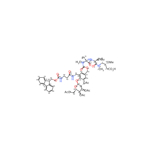 CC[C@H](C)[C@@H]([C@@H](CC(=O)O)OC)N(C)C(=O)[C@@H](NC(=O)[C@H](C(C)C)N(C)C(=O)OCc1ccc(O[C@@H]2O[C@H](COC(C)=O)[C@H](OC(C)=O)[C@H](OC(C)=O)[C@H]2OC(C)=O)c(CNC(=O)CCNC(=O)OCC2c3ccccc3-c3ccccc32)c1)C(C)C